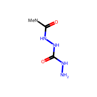 CNC(=O)NNC(=O)NN